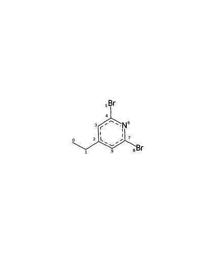 CCc1cc(Br)nc(Br)c1